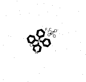 Clc1cnccc1[P+](c1ccccc1)(c1ccccc1)c1ccccc1.O=S(=O)([O-])C(F)(F)F